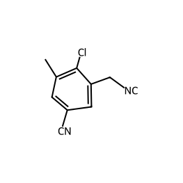 [C-]#[N+]Cc1cc(C#N)cc(C)c1Cl